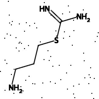 N=C(N)SCCCN